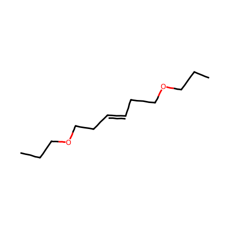 CCCOCC/C=C/CCOCCC